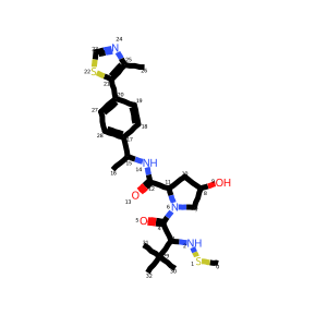 CSNC(C(=O)N1CC(O)CC1C(=O)NC(C)c1ccc(-c2scnc2C)cc1)C(C)(C)C